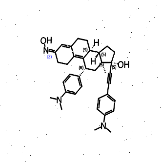 CN(C)c1ccc(C#C[C@]2(O)CC[C@H]3[C@@H]4CCC5=C/C(=N\O)CCC5=C4[C@@H](c4ccc(N(C)C)cc4)C[C@@]32C)cc1